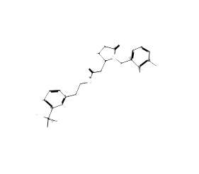 O=C(CC1CCC(=O)N1Cc1cccc(F)c1F)NCCc1cccc(C(F)(F)F)c1